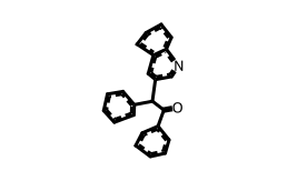 O=C(c1ccccc1)C(c1ccccc1)c1cnc2ccccc2c1